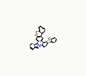 c1ccc2c(c1)cn1c3ccc4c5ccccc5sc4c3c3cc4c(cc3c21)sc1ccccc14